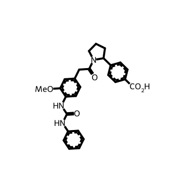 COc1cc(CC(=O)N2CCCC2c2ccc(C(=O)O)cc2)ccc1NC(=O)Nc1ccccc1